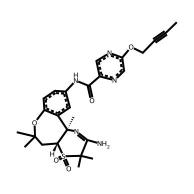 CC#CCOc1cnc(C(=O)Nc2ccc3c(c2)[C@@]2(C)N=C(N)C(C)(C)S(=O)(=O)[C@@H]2CC(C)(C)O3)cn1